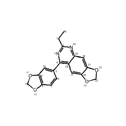 CCc1nc(-c2ccc3c(c2)OCO3)c2cc3c(cc2n1)OCO3